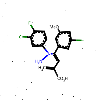 C=C(/C=C(/c1cc(F)cc(OC)c1)N(N)c1ccc(F)c(Cl)c1)C(=O)O